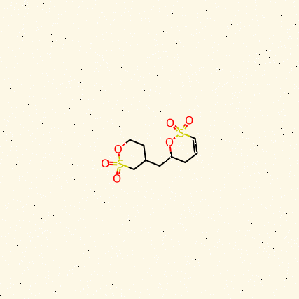 O=S1(=O)C=CCC(CC2CCOS(=O)(=O)C2)O1